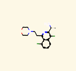 C[C@H](N)c1nc(CCN2CCOCC2)c2c(Cl)cccc2c1F